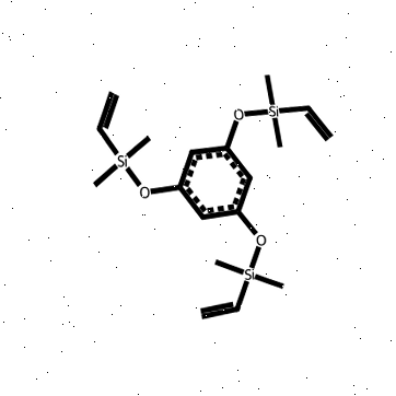 C=C[Si](C)(C)Oc1cc(O[Si](C)(C)C=C)cc(O[Si](C)(C)C=C)c1